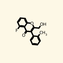 Cc1ccccc1-c1c(CO)oc2cccc(F)c2c1=O